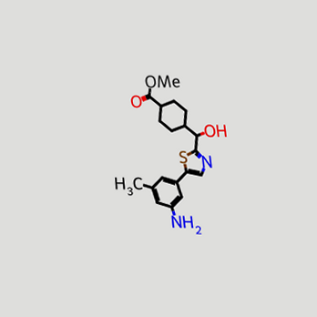 COC(=O)C1CCC(C(O)c2ncc(-c3cc(C)cc(N)c3)s2)CC1